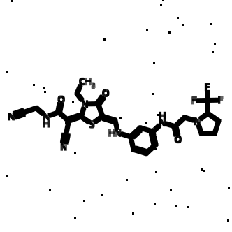 CCn1c(=C(C#N)C(=O)NCC#N)sc(=CNc2cccc(NC(=O)CN3CCCC3C(F)(F)F)c2)c1=O